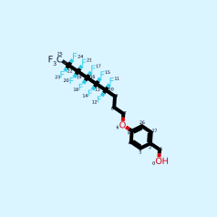 OCc1ccc(OCCCC(F)(F)C(F)(F)C(F)(F)C(F)(F)C(F)(F)C(F)(F)F)cc1